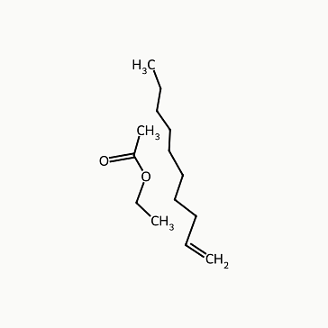 C=CCCCCCCCC.CCOC(C)=O